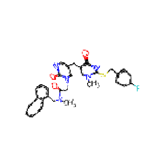 CN(Cc1cccc2ccccc12)C(=O)Cn1cc(Cc2cn(C)c(SCc3ccc(F)cc3)nc2=O)cnc1=O